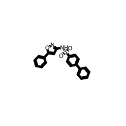 O=S(=O)(Nc1cc(-c2ccccc2)on1)c1ccc(-c2ccccc2)cc1